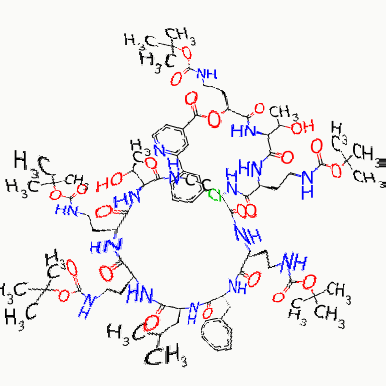 CC(C)C[C@@H]1NC(=O)[C@@H](Cc2ccccc2)NC(=O)[C@H](CCNC(=O)OC(C)(C)C)NC(=O)[C@@H](NC(=O)[C@H](CCNC(=O)OC(C)(C)C)NC(=O)[C@@H](NC(=O)[C@H](CCNC(=O)OC(C)(C)C)OC(=O)c2ccnc(-c3cccc(Cl)c3)c2)C(C)O)CCNC(=O)[C@H]([C@H](C)O)NC(=O)[C@H](CCNC(=O)OC(C)(C)C)NC(=O)[C@H](CCNC(=O)OC(C)(C)C)NC1=O